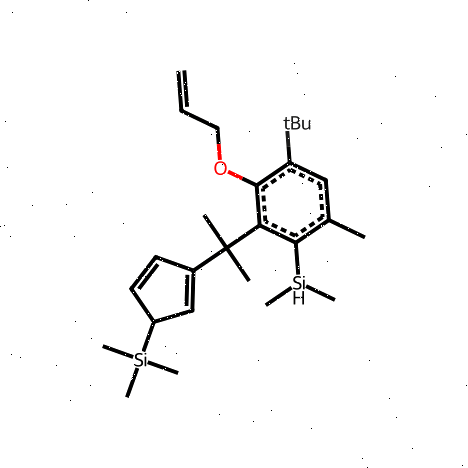 C=CCOc1c(C(C)(C)C)cc(C)c([SiH](C)C)c1C(C)(C)C1=CC([Si](C)(C)C)C=C1